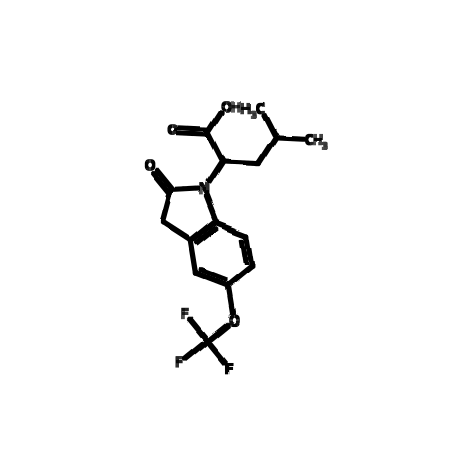 CC(C)CC(C(=O)O)N1C(=O)Cc2cc(OC(F)(F)F)ccc21